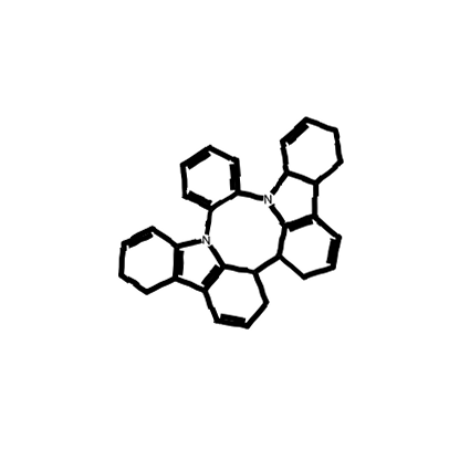 C1=Cc2c(c3c4n2-c2ccccc2N2C5=C(C=CCC5C4CC=C3)C3CCC=CC32)CC1